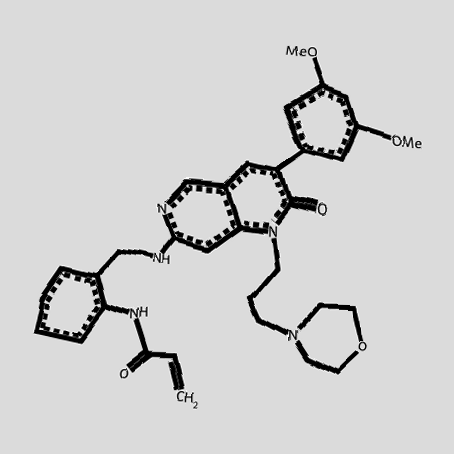 C=CC(=O)Nc1ccccc1CNc1cc2c(cn1)cc(-c1cc(OC)cc(OC)c1)c(=O)n2CCCN1CCOCC1